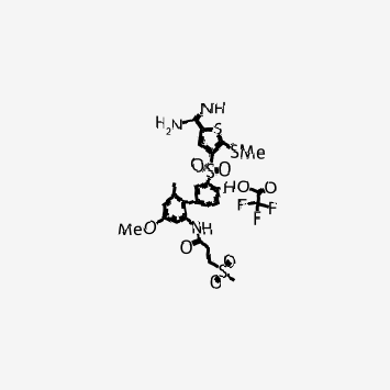 COc1cc(C)c(-c2cccc(S(=O)(=O)c3cc(C(=N)N)sc3SC)c2)c(NC(=O)CCS(C)(=O)=O)c1.O=C(O)C(F)(F)F